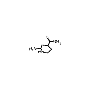 NC(=O)C1CCNC(N)C1